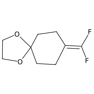 FC(F)=C1CCC2(CC1)OCCO2